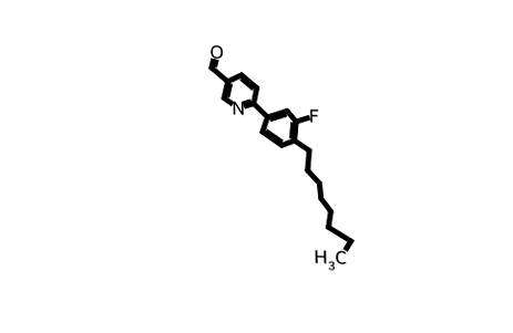 CCCCCCCCc1ccc(-c2ccc(C=O)cn2)cc1F